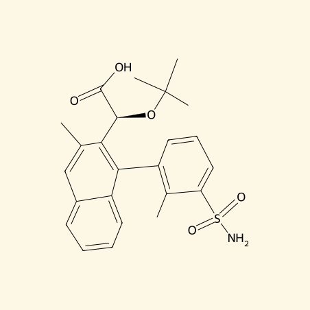 Cc1cc2ccccc2c(-c2cccc(S(N)(=O)=O)c2C)c1[C@H](OC(C)(C)C)C(=O)O